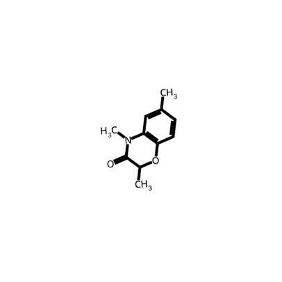 Cc1ccc2c(c1)N(C)C(=O)C(C)O2